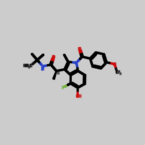 Cc1c([C@@H](C)C(=O)NC(C)(C)C(=O)O)c2c(F)c(O)ccc2n1C(=O)c1ccc(OC(F)(F)F)cc1